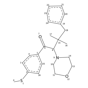 CSc1ccc(C(=O)C(N2CCOCC2)C(C)(C)Cc2ccccc2)cc1